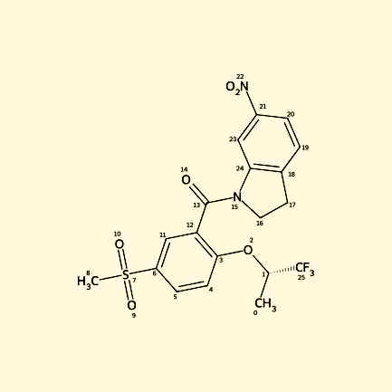 C[C@H](Oc1ccc(S(C)(=O)=O)cc1C(=O)N1CCc2ccc([N+](=O)[O-])cc21)C(F)(F)F